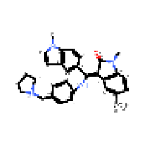 CN1C(=O)C(=C(Nc2ccc(CN3CCCC3)cc2)c2ccc3c(ccn3C)c2)c2cc(C(=O)O)ccc21